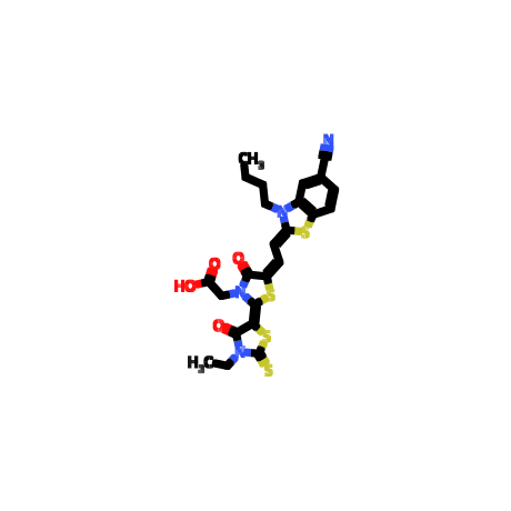 CCCCN1/C(=C/C=c2/s/c(=C3\SC(=S)N(CC)C3=O)n(CC(=O)O)c2=O)Sc2ccc(C#N)cc21